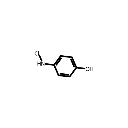 Oc1ccc(NCl)cc1